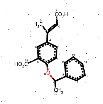 C/C(=C\C(=O)O)c1ccc(OC(C)c2ccccc2)c(C(=O)O)c1